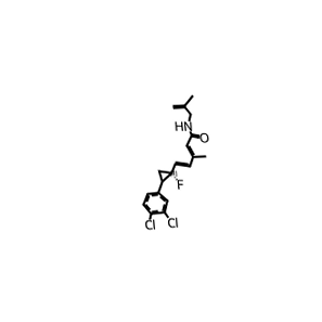 C=C(C)CNC(=O)C=C(C)C=C[C@]1(F)CC1c1ccc(Cl)c(Cl)c1